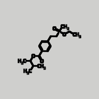 CCOP(C)(=O)CCc1ccc(C(=O)OC(C)C(C)C)cc1